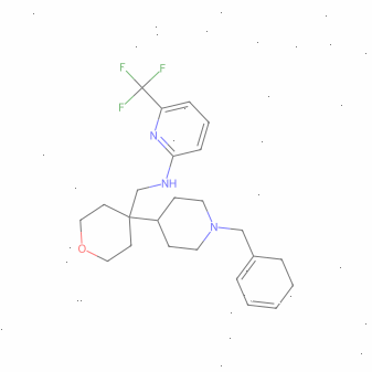 FC(F)(F)c1cccc(NCC2(C3CCN(CC4=CC=CCC4)CC3)CCOCC2)n1